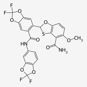 COc1ccc2c(c1C(N)=O)SC(c1cc3c(cc1C(=O)Nc1ccc4c(c1)OC(F)(F)O4)OC(F)(F)O3)O2